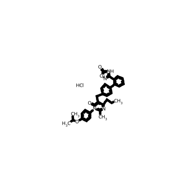 CCCc1nc(C)n(-c2ccc(OC(C)C)cc2)c(=O)c1Cc1ccc(-c2ccccc2-c2noc(=O)[nH]2)cc1.Cl